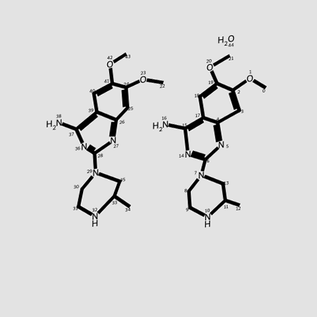 COc1cc2nc(N3CCNC(C)C3)nc(N)c2cc1OC.COc1cc2nc(N3CCNC(C)C3)nc(N)c2cc1OC.O